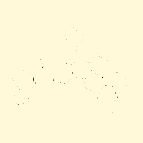 O=C(c1ccc2c(c1)OCO2)N1CCC(OCc2cc(F)cc(C(F)(F)F)c2)C(C(c2ccccc2)c2ccccc2)C1